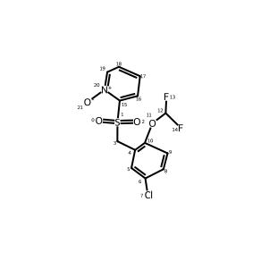 O=S(=O)(Cc1cc(Cl)ccc1OC(F)F)c1cccc[n+]1[O-]